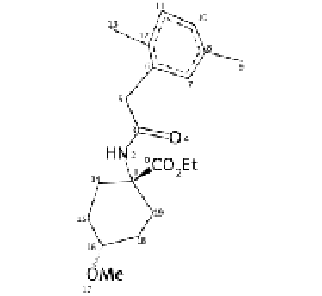 CCOC(=O)[C@]1(NC(=O)Cc2cc(C)ccc2C)CC[C@@H](OC)CC1